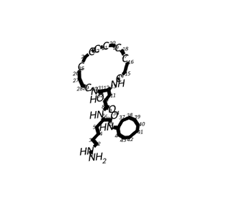 NNCCCCC(NC(=O)CCC1NCCCCCCCCCCCCCCCCNC1=O)C(=O)NC1CCCCCCCC1